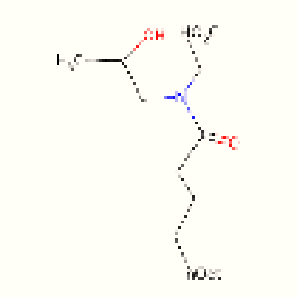 CCCCCCCCCCCC(=O)N(CC(=O)O)CC(C)O